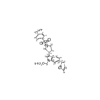 CC(C)Oc1ccc(S(=O)(=O)N2CCC(c3cn(CC(=O)O)c4cc(C5CC=CO5)ccc34)C2)cc1